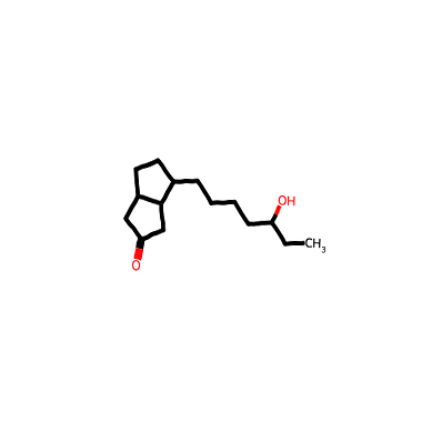 CCC(O)CCCCC1CCC2CC(=O)CC12